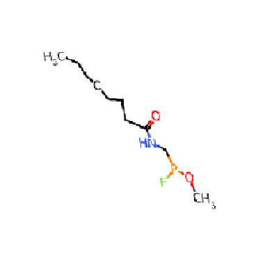 CCCCCCCC(=O)NCP(F)OC